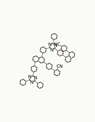 N#Cc1ccc(-c2cccc3cccc(-c4ccc(-c5nc(-c6ccccc6)nc(-c6cccc(-c7cc(-c8ccc(-c9ccccc9C#N)cc8)cc8c(-c9ccc(-c%10nc(-c%11ccccc%11)nc(-c%11ccccc%11)n%10)cc9)cccc78)c6)n5)cc4)c23)cc1